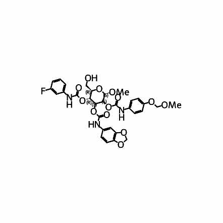 COCOc1ccc(NC(=O)O[C@@H]2[C@@H](OC)O[C@H](CO)[C@@H](OC(=O)Nc3cccc(F)c3)[C@@H]2OC(=O)Nc2ccc3c(c2)OCO3)cc1